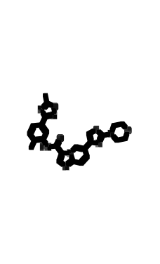 Cc1nc(-c2ccc(C)c(NC(=O)c3cnc4ccc(-c5csc(N6CCOCC6)n5)cn34)c2)no1